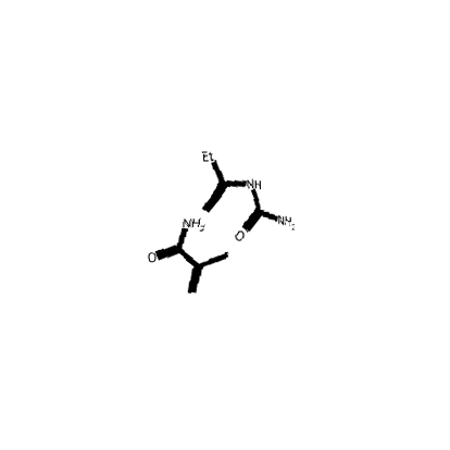 C=C(C)C(N)=O.C=C(CC)NC(N)=O